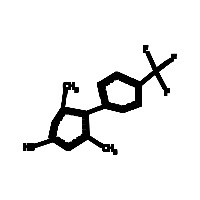 Cc1cc(S)cc(C)c1-c1ccc(C(F)(F)F)cc1